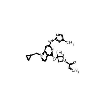 C=CC(=O)N1CC(C)(Oc2nc(Nc3ncc(C)s3)cc3c2ccn3CC2CC2)C1